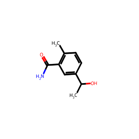 Cc1ccc(C(C)O)cc1C(N)=O